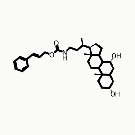 C[C@H](CCNC(=O)OC/C=C/c1ccccc1)[C@H]1CCC2C3C(CC[C@@]21C)[C@@]1(C)CC[C@@H](O)CC1C[C@H]3O